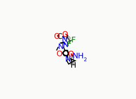 NC(=O)[C@]12C[C@H]1CCN2c1ccc2c(c1)OCCn1cc(N3C(=C=O)OC[C@H]3C(F)F)nc1-2